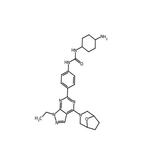 CCn1ncc2c(N3CC4CCC(C3)O4)nc(-c3ccc(NC(=O)NC4CCC(N)CC4)cc3)nc21